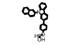 OBOc1ccc(-c2ccc3c4ccccc4n(-c4ccc5ccccc5c4)c3c2)cc1